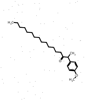 CCCCCCCCCCCCCCC(=O)C(C)c1ccc(OC)cc1